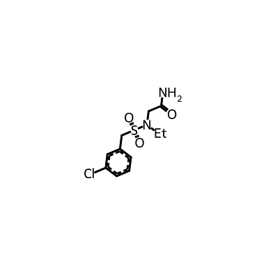 CCN(CC(N)=O)S(=O)(=O)Cc1cccc(Cl)c1